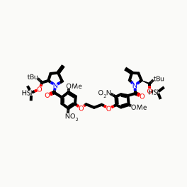 C=C1CC(C(O[SiH](C)C)C(C)(C)C)N(C(=O)c2cc([N+](=O)[O-])c(OCCCOc3cc(OC)c(C(=O)N4CC(=C)C[C@H]4C(O[SiH](C)C)C(C)(C)C)cc3[N+](=O)[O-])cc2OC)C1